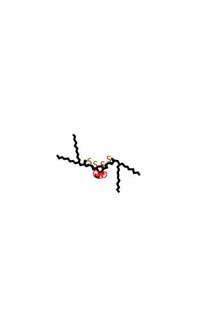 CCCCCCCCCCC(CCCCCCCC)Cc1csc(-c2cc3c(s2)-c2sc(-c4cc(CC(CCCCCCCC)CCCCCCCCCC)cs4)cc2C2(OCCO2)C3=O)c1